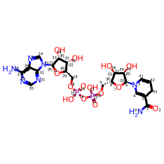 NC(=O)C1=CN([C@H]2O[C@H](COP(=O)(O)OP(=O)(O)OC[C@H]3O[C@@H](n4cnc5c(N)ncnc54)[C@H](O)[C@@H]3O)[C@@H](O)[C@H]2O)C=CC1